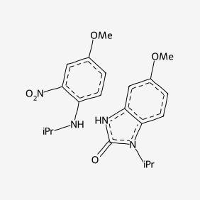 COc1ccc(NC(C)C)c([N+](=O)[O-])c1.COc1ccc2c(c1)[nH]c(=O)n2C(C)C